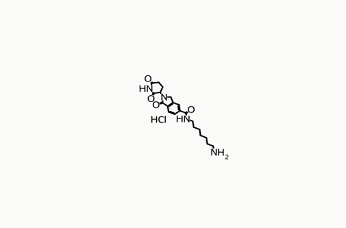 Cl.NCCCCCCCNC(=O)c1ccc2c(c1)CN(C1CCC(=O)NC1=O)C2=O